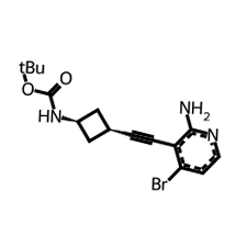 CC(C)(C)OC(=O)N[C@H]1C[C@@H](C#Cc2c(Br)ccnc2N)C1